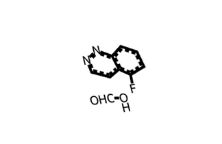 Fc1cccc2nnccc12.O=CO